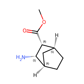 COC(=O)[C@@H]1[C@H]2CC[C@H](C2)[C@@H]1N